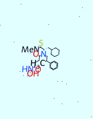 CNC(=S)[C@H](CC1CCCCC1)N(C[C@H](C)c1ccccc1)C(=O)CCC(=O)NO